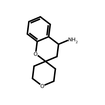 NC1CC2(CCOCC2)Oc2ccccc21